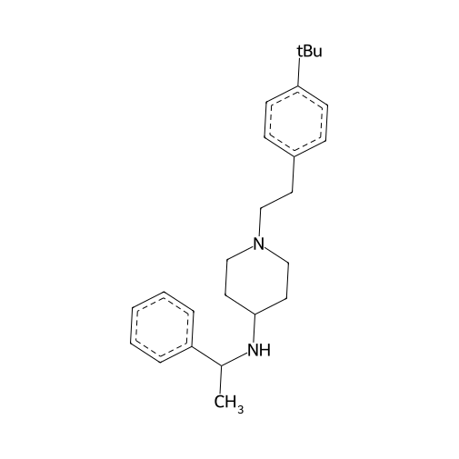 CC(NC1CCN(CCc2ccc(C(C)(C)C)cc2)CC1)c1ccccc1